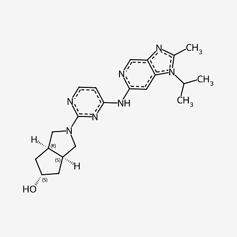 Cc1nc2cnc(Nc3ccnc(N4C[C@H]5C[C@H](O)C[C@H]5C4)n3)cc2n1C(C)C